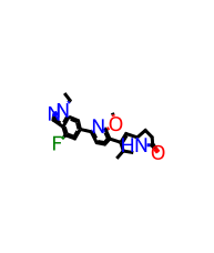 CCn1ncc2c(F)cc(-c3ccc(C(=CC4CCC(=O)N4)C(C)C)c(OC)n3)cc21